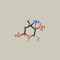 C[C@@H]1OC(O)C[C@](C)(N)[C@H]1O